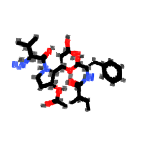 CCC(C)C(=O)N[C@@H](Cc1ccccc1)C(=O)O[C@@H](CC(=O)O)[C@@H]1[C@H](OC(C)=O)CCN1C(=O)[C@@H](N)C(C)C